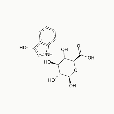 O=C(O)[C@H]1O[C@@H](O)[C@H](O)[C@@H](O)[C@@H]1O.Oc1c[nH]c2ccccc12